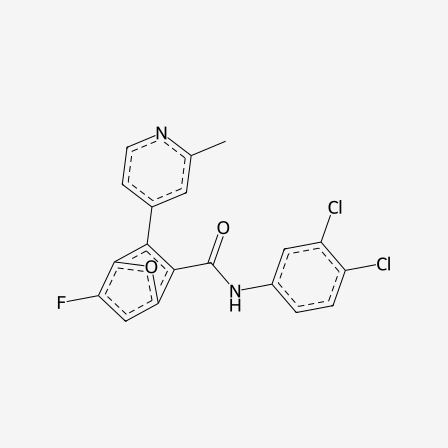 Cc1cc(-c2c(C(=O)Nc3ccc(Cl)c(Cl)c3)c3cc(F)c2o3)ccn1